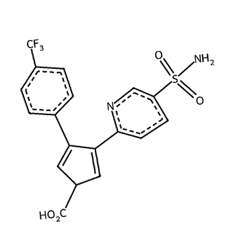 NS(=O)(=O)c1ccc(C2=CC(C(=O)O)C=C2c2ccc(C(F)(F)F)cc2)nc1